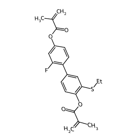 C=C(C)C(=O)Oc1ccc(-c2ccc(OC(=O)C(=C)C)c(SCC)c2)c(F)c1